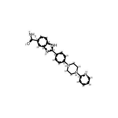 NC(=O)c1ccc2[nH]c(-c3ccc(N4CCN(c5ccccn5)CC4)cc3)nc2c1